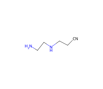 N#CCCNCCN